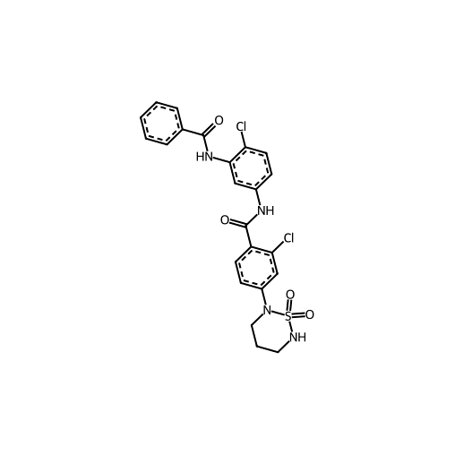 O=C(Nc1cc(NC(=O)c2ccc(N3CCCNS3(=O)=O)cc2Cl)ccc1Cl)c1ccccc1